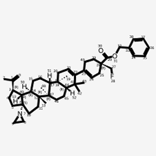 C=C(C)[C@@H]1CC[C@]2(N3CC3)CC[C@]3(C)[C@H](CC[C@@H]4[C@@]5(C)CC=C(C6=CC[C@@](CF)(C(=O)OCc7ccccc7)CC6)C(C)(C)[C@@H]5CC[C@]43C)[C@@H]12